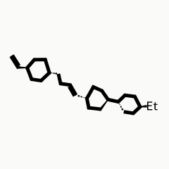 C=C[C@H]1CC[C@H](CCC=C[C@H]2CC[C@H]([C@H]3CC[C@H](CC)CC3)CC2)CC1